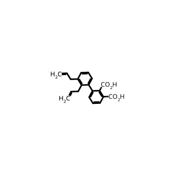 C=CCc1cccc(-c2cccc(C(=O)O)c2C(=O)O)c1CC=C